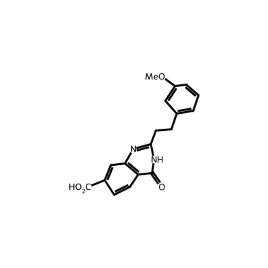 COc1cccc(CCc2nc3cc(C(=O)O)ccc3c(=O)[nH]2)c1